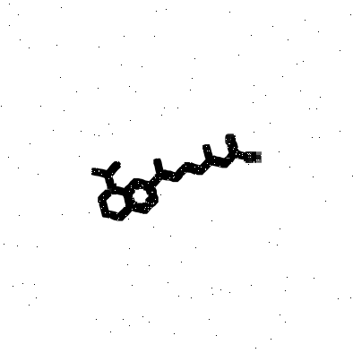 CC(/C=C/C=C(\C)c1ccc2c(c1)N(C(C)C)CCC2)=C\C(=O)O